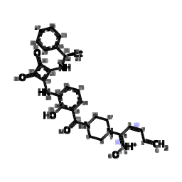 C=C/C=C\C(=[NH+]\[O-])N1CCN(C(=O)c2cccc(Nc3c(N[C@H](CC)c4ccccc4)c(=O)c3=O)c2O)CC1